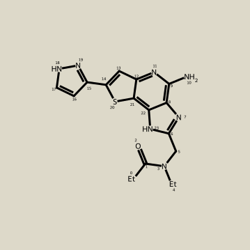 CCC(=O)N(CC)Cc1nc2c(N)nc3cc(-c4cc[nH]n4)sc3c2[nH]1